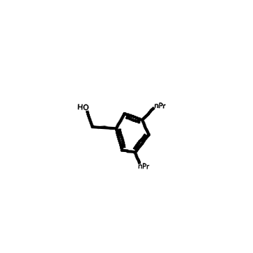 CCCc1cc(CO)cc(CCC)c1